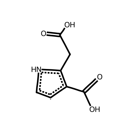 O=C(O)Cc1[nH]c[c]c1C(=O)O